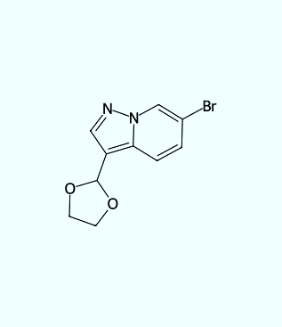 Brc1ccc2c(C3OCCO3)cnn2c1